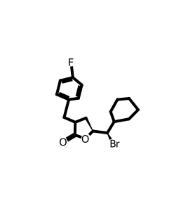 O=C1O[C@H]([C@H](Br)C2CCCCC2)CC1Cc1ccc(F)cc1